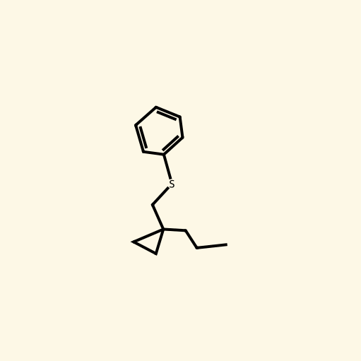 CCCC1(CSc2ccccc2)CC1